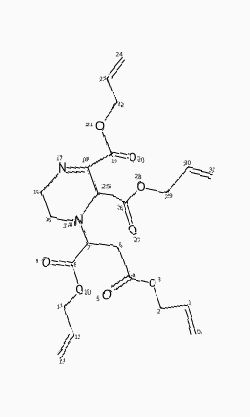 C=CCOC(=O)CC(C(=O)OCC=C)N1CCN=C(C(=O)OCC=C)C1C(=O)OCC=C